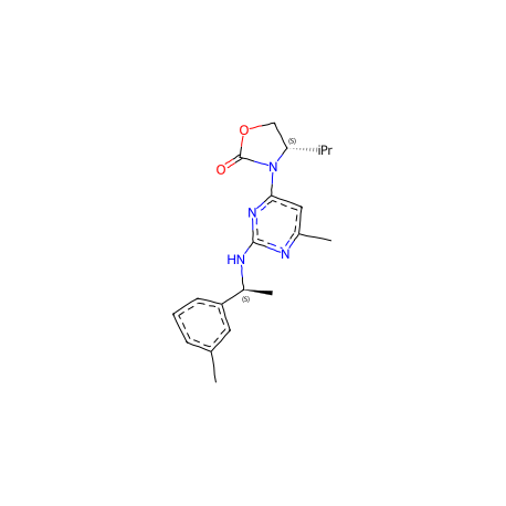 Cc1cccc([C@H](C)Nc2nc(C)cc(N3C(=O)OC[C@@H]3C(C)C)n2)c1